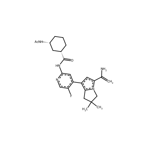 C=C(N)c1cc(-c2cc(NC(=O)[C@H]3CCC[C@@H](NC(C)=O)C3)ncc2F)c2n1CC(C)(C)C2